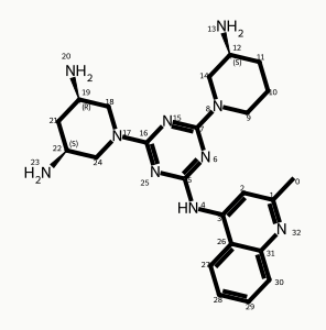 Cc1cc(Nc2nc(N3CCC[C@H](N)C3)nc(N3C[C@H](N)C[C@H](N)C3)n2)c2ccccc2n1